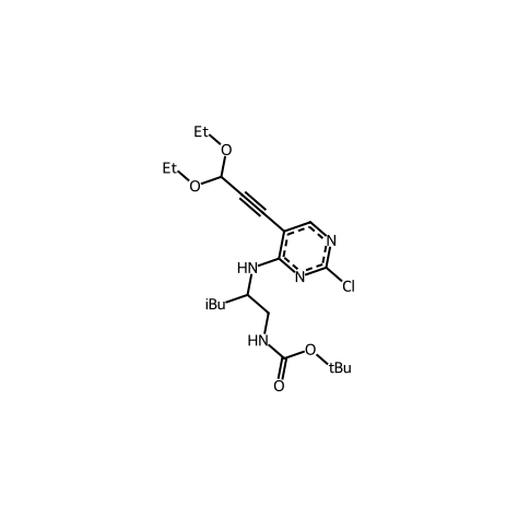 CCOC(C#Cc1cnc(Cl)nc1NC(CNC(=O)OC(C)(C)C)C(C)CC)OCC